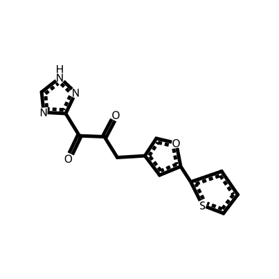 O=C(Cc1coc(-c2cccs2)c1)C(=O)c1nc[nH]n1